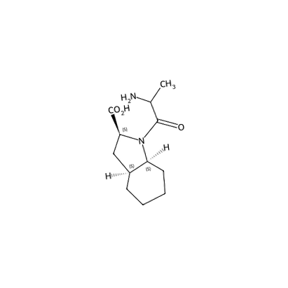 CC(N)C(=O)N1[C@H](C(=O)O)C[C@@H]2CCCC[C@@H]21